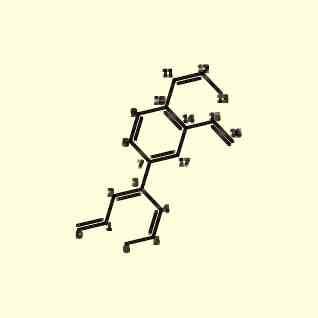 C=C/C=C(\C=C/C)c1ccc(/C=C\C)c(C=C)c1